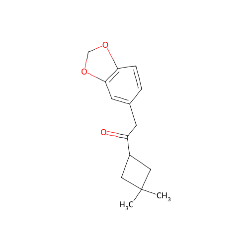 CC1(C)CC(C(=O)Cc2ccc3c(c2)OCO3)C1